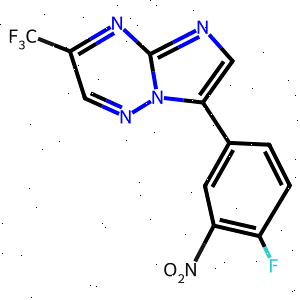 O=[N+]([O-])c1cc(-c2cnc3nc(C(F)(F)F)cnn23)ccc1F